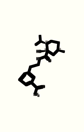 CC(C)[C@@H]1CC[C@@H](C)C[C@@]1(O)C(=O)NCCc1cccc(C(N)=O)c1